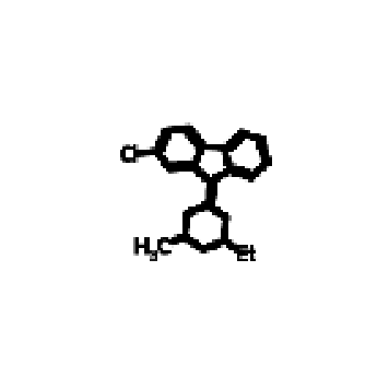 CCC1C/C(=C2\c3ccccc3-c3ccc(Cl)cc32)CC(C)C1